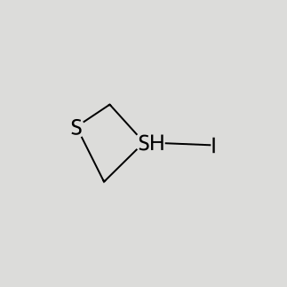 I[SH]1CSC1